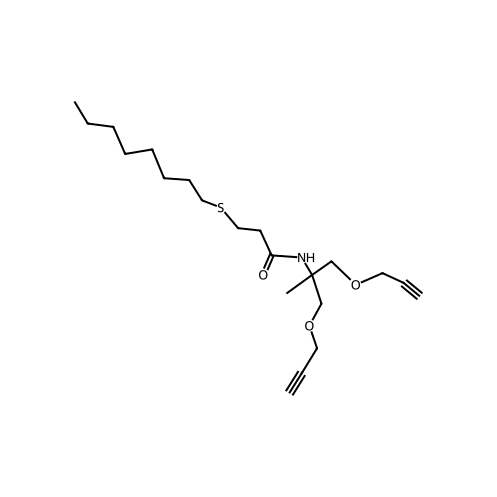 C#CCOCC(C)(COCC#C)NC(=O)CCSCCCCCCCC